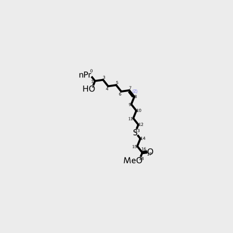 CCCC(O)CCCC/C=C\CCCCSCCC(=O)OC